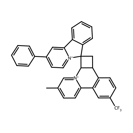 Cc1ccc2[n+](c1)C1C(CC13c1ccccc1-c1cc(-c4ccccc4)cc[n+]13)c1ccc(C(F)(F)F)cc1-2